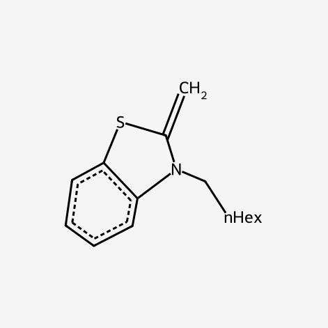 C=C1Sc2ccccc2N1CCCCCCC